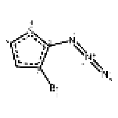 [N-]=[N+]=Nc1sccc1Br